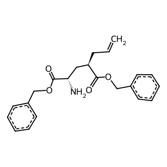 C=CC[C@H](C[C@H](N)C(=O)OCc1ccccc1)C(=O)OCc1ccccc1